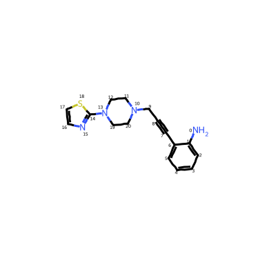 Nc1ccccc1C#CCN1CCN(c2nccs2)CC1